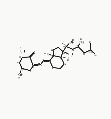 C=C1C(=CC=C2CCC[C@@]3(C)[C@H]2CC[C@]3(O)[C@@](C)(O)CC(O)CC(C)C)C[C@@H](O)C[C@@H]1O